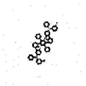 Fc1cccc(N(c2ccccc2)c2ccc3c(c2)c2cccc4c5c(-c6ccccc6)c6c(c(-c7ccccc7)c5n3c24)c2cccc3c4cc(N(c5ccccc5)c5cccc(F)c5)ccc4n6c32)c1